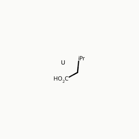 CC(C)CC(=O)O.[U]